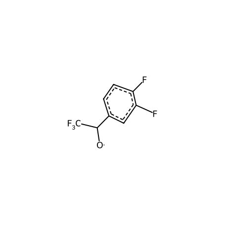 [O]C(c1ccc(F)c(F)c1)C(F)(F)F